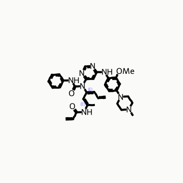 C=C/C=C(\C=C(/C)NC(=O)C=C)N(C(=O)Nc1ccccc1)c1cc(Nc2ccc(N3CCN(C)CC3)cc2OC)ncn1